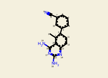 Cc1c(-c2cccc(C#N)c2)ccc2nc(N)nc(N)c12